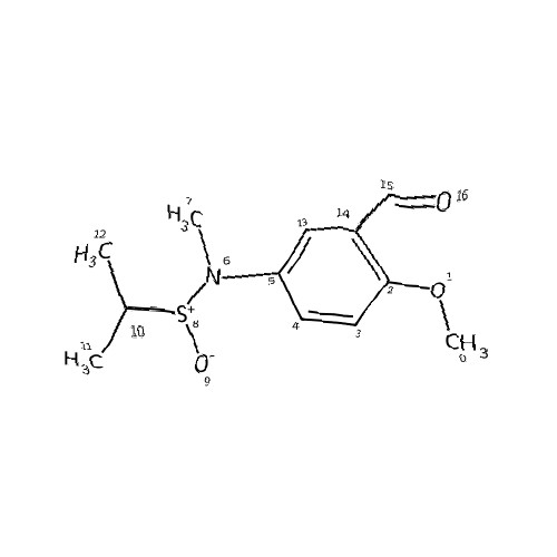 COc1ccc(N(C)[S+]([O-])C(C)C)cc1C=O